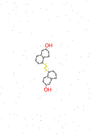 Oc1ccc2c(SSc3cccc4cc(O)ccc34)cccc2c1